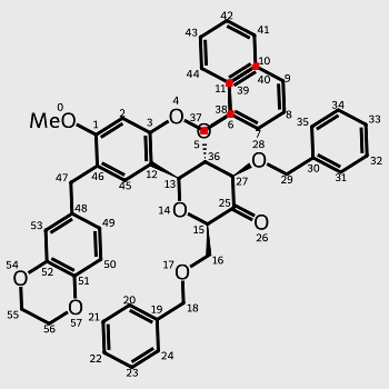 COc1cc(OCc2ccccc2)c([C@@H]2O[C@H](COCc3ccccc3)C(=O)[C@H](OCc3ccccc3)[C@H]2OCc2ccccc2)cc1Cc1ccc2c(c1)OCCO2